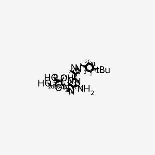 CC(C)(C)c1ccc(Cn2cc(-c3nc(N)c4ncn(C5O[C@H](CO)C(O)[C@H]5O)c4n3)cn2)cc1